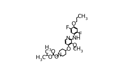 CCCOc1cc(F)c(Nc2nccc(OC3CCN(OC(=O)OC(C)C)CC3)c2OC)cc1F